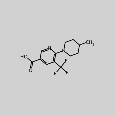 CC1CCN(c2ncc(C(=O)O)cc2C(F)(F)F)CC1